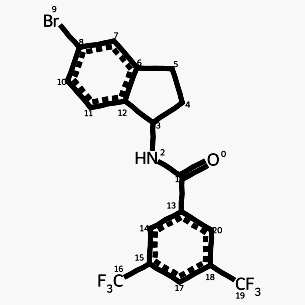 O=C(NC1CCc2cc(Br)ccc21)c1cc(C(F)(F)F)cc(C(F)(F)F)c1